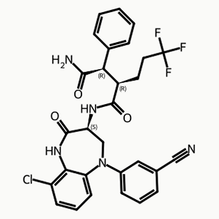 N#Cc1cccc(N2C[C@H](NC(=O)[C@H](CCC(F)(F)F)[C@@H](C(N)=O)c3ccccc3)C(=O)Nc3c(Cl)cccc32)c1